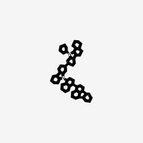 c1ccc(-n2c3cc(-c4ccc5c6ccccc6n(-c6ccc(-c7ccc8c9c(cccc79)-c7ccccc7-8)c7ccccc67)c5c4)ccc3c3ccc4ccccc4c32)cc1